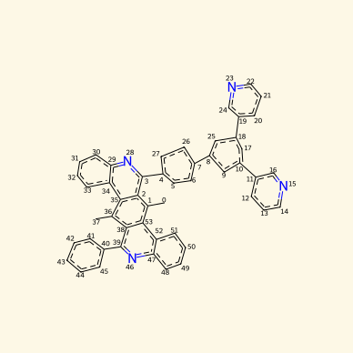 Cc1c2c(-c3ccc(-c4cc(-c5cccnc5)cc(-c5cccnc5)c4)cc3)nc3ccccc3c2c(C)c2c(-c3ccccc3)nc3ccccc3c12